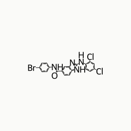 O=C(Nc1ccc(Br)cc1)c1ccc2[nH]c(Nc3ccc(Cl)cc3Cl)nc2c1